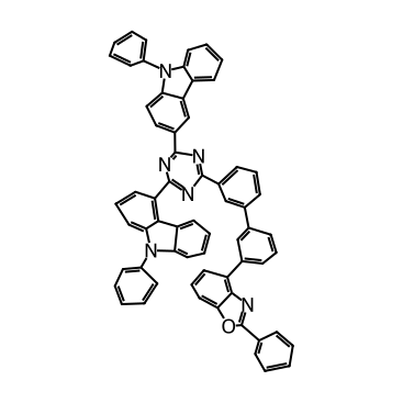 c1ccc(-c2nc3c(-c4cccc(-c5cccc(-c6nc(-c7ccc8c(c7)c7ccccc7n8-c7ccccc7)nc(-c7cccc8c7c7ccccc7n8-c7ccccc7)n6)c5)c4)cccc3o2)cc1